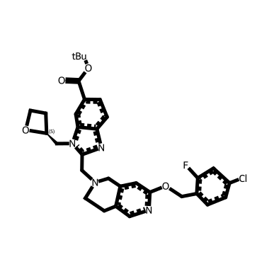 CC(C)(C)OC(=O)c1ccc2nc(CN3CCc4cnc(OCc5ccc(Cl)cc5F)cc4C3)n(C[C@@H]3CCO3)c2c1